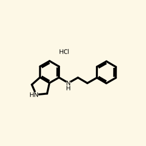 Cl.c1ccc(CCNc2cccc3c2CNC3)cc1